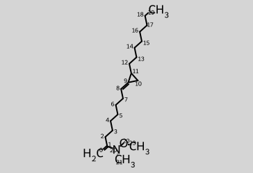 C=C(CCCCCC/C=C1\CC1CCCCCCCC)N(C)OC